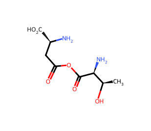 C[C@@H](O)[C@H](N)C(=O)OC(=O)C[C@H](N)C(=O)O